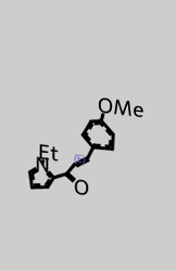 CCn1cccc1C(=O)/C=C/c1ccc(OC)cc1